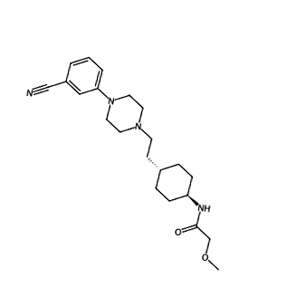 COCC(=O)N[C@H]1CC[C@H](CCN2CCN(c3cccc(C#N)c3)CC2)CC1